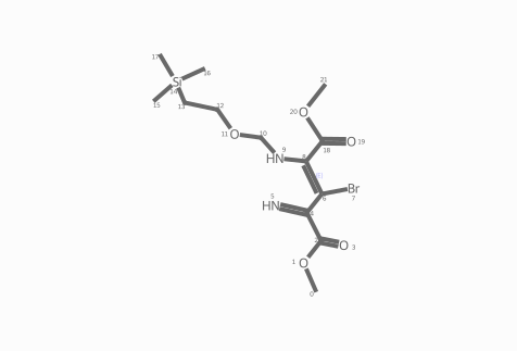 COC(=O)C(=N)/C(Br)=C(\NCOCC[Si](C)(C)C)C(=O)OC